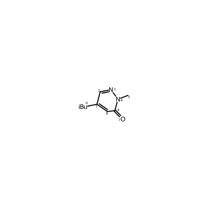 CCC(C)c1cnn(C)c(=O)c1